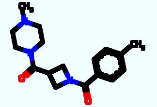 Cc1ccc(C(=O)N2CC(C(=O)N3CCN(C)CC3)C2)cc1